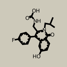 CC(C)Cn1c(CNC(=O)O)c(-c2ccc(F)cc2)c2cc(O)ccc2c1=O